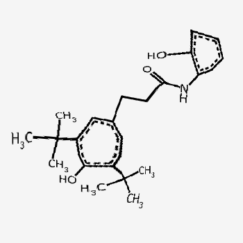 CC(C)(C)c1cc(CCC(=O)Nc2ccccc2O)cc(C(C)(C)C)c1O